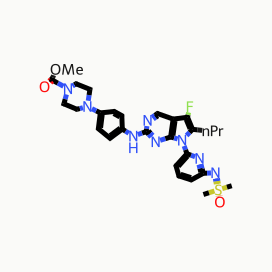 CCCc1c(F)c2cnc(Nc3ccc(N4CCN(C(=O)OC)CC4)cc3)nc2n1-c1cccc(N=S(C)(C)=O)n1